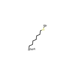 CCCCCCCCCCCC[S][Sb]